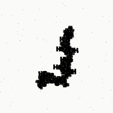 CCCC(C)C1CCC2[C@@H]3C(CC(O)C12C)C1(C)CC[C@@H](NC(=O)[C@H](CCSC)NC(=O)CCC(C)C2CCC4[C@@H]5C(CC(O)C24C)C2(C)CC[C@@H](NC(=O)CCC(C)C4CCC6[C@@H]7C(CC(O)C46C)C4(C)CC[C@@H](NS(=O)(=O)c6cccc8c(N(C)C)cccc68)C[C@H]4C[C@@H]7O)C[C@H]2C[C@@H]5O)C[C@H]1C[C@@H]3O